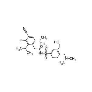 CC(C)c1cc(C#N)c(F)c(C(C)C)c1CC(=O)NS(=O)(=O)c1ccc(CN(C)C)c(CO)c1